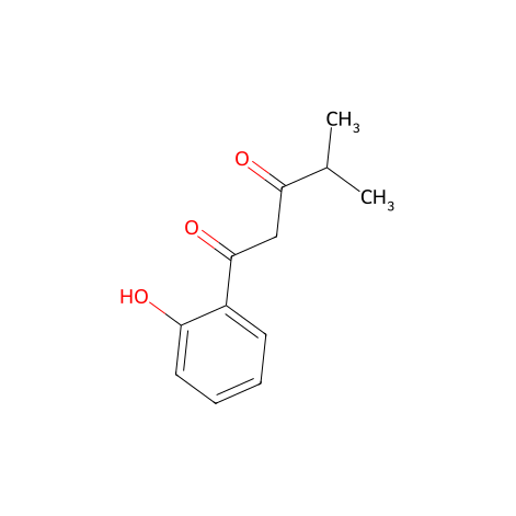 CC(C)C(=O)CC(=O)c1ccccc1O